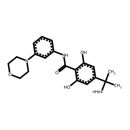 CCCCCCC(C)(C)c1cc(O)c(C(=O)Nc2cccc(N3CCOCC3)c2)c(O)c1